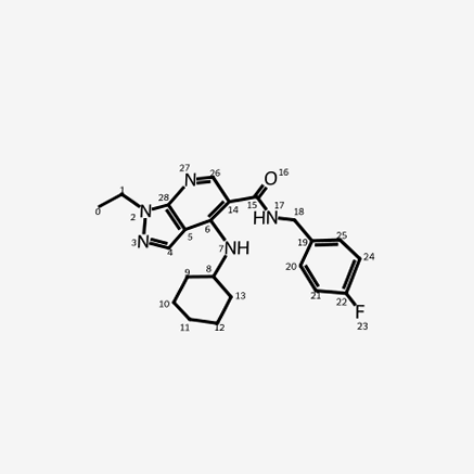 CCn1ncc2c(NC3CCCCC3)c(C(=O)NCc3ccc(F)cc3)cnc21